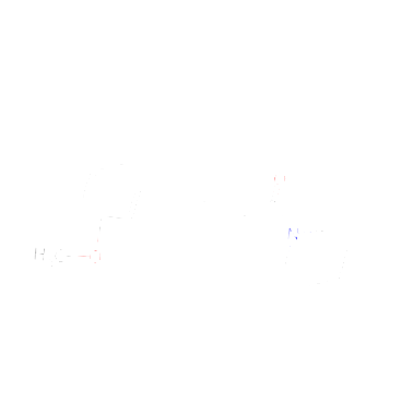 COc1cccc(CCCCC(=O)N2CCCCC2)c1